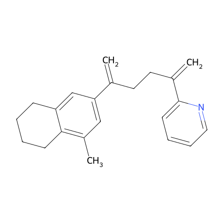 C=C(CCC(=C)c1ccccn1)c1cc(C)c2c(c1)CCCC2